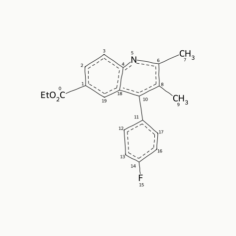 CCOC(=O)c1ccc2nc(C)c(C)c(-c3ccc(F)cc3)c2c1